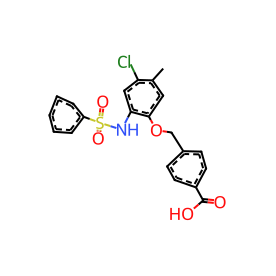 Cc1cc(OCc2ccc(C(=O)O)cc2)c(NS(=O)(=O)c2ccccc2)cc1Cl